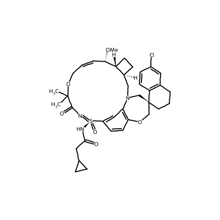 CO[C@H]1C=CCOC(C)(C)C(=O)N=[S@](=O)(NC(=O)CC2CC2)c2ccc3c(c2)N(C[C@@H]2CC[C@H]21)C[C@@]1(CCCc2cc(Cl)ccc21)CO3